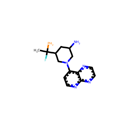 CC(F)(P)C1CC(N)CN(c2ccnc3nccnc23)C1